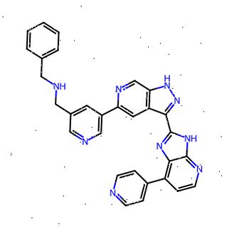 c1ccc(CNCc2cncc(-c3cc4c(-c5nc6c(-c7ccncc7)ccnc6[nH]5)n[nH]c4cn3)c2)cc1